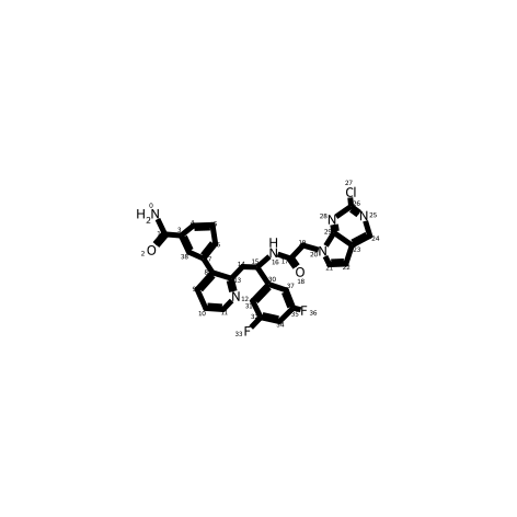 NC(=O)c1cccc(-c2cccnc2CC(NC(=O)Cn2ccc3cnc(Cl)nc32)c2cc(F)cc(F)c2)c1